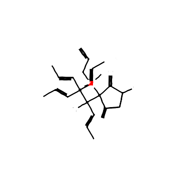 C=CC[N+](C)(C)C1(C(N)(C=CC)C(C=CC)(C=CC)C=CC)C(=O)CC(O)C1=O.[Br-]